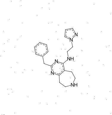 c1ccc(Cc2nc3c(c(NCCn4cccn4)n2)CCNCC3)cc1